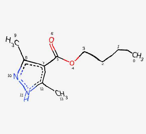 CCCCOC(=O)c1c(C)n[nH]c1C